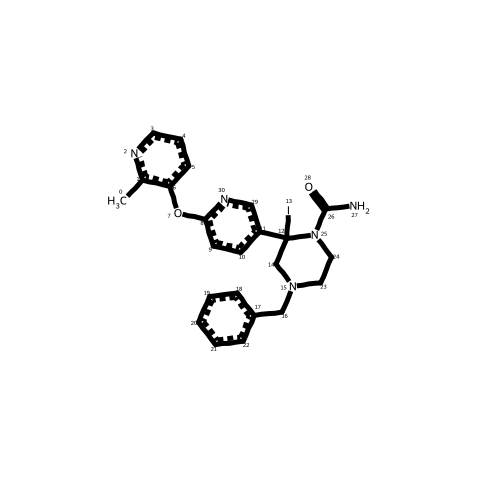 Cc1ncccc1Oc1ccc(C2(I)CN(Cc3ccccc3)CCN2C(N)=O)cn1